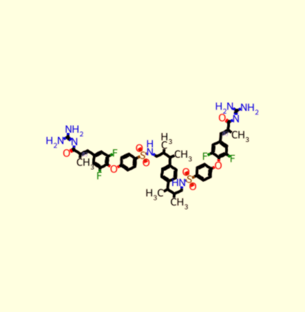 C/C(=C\c1cc(F)c(Oc2ccc(S(=O)(=O)NCC(C)C(C)c3ccc(C(C)C(C)CNS(=O)(=O)c4ccc(Oc5c(F)cc(/C=C(\C)C(=O)N=C(N)N)cc5F)cc4)cc3)cc2)c(F)c1)C(=O)N=C(N)N